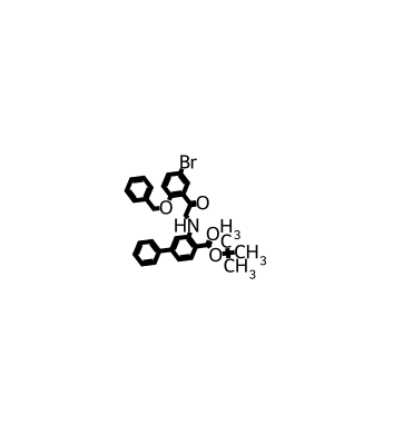 CC(C)(C)OC(=O)c1ccc(-c2ccccc2)cc1NCC(=O)c1cc(Br)ccc1OCc1ccccc1